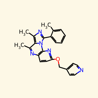 Cc1ccccc1-c1nc(C)c2c(C)nc3ccc(OCc4ccncc4)nc3n12